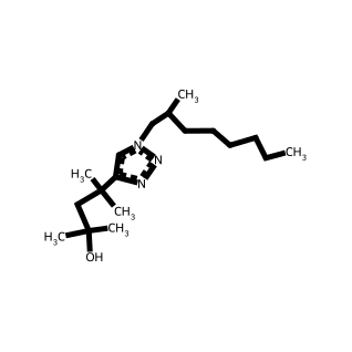 CCCCCCC(C)Cn1cc(C(C)(C)CC(C)(C)O)nn1